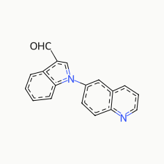 O=Cc1cn(-c2ccc3ncccc3c2)c2ccccc12